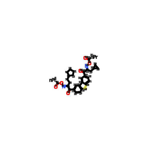 CCCC(=O)O/N=C(\CCC1CCCC1)C(=O)c1ccc2sc3ccc(C(=O)/C(CC4CC4)=N/OC(=O)CCC)cc3c2c1